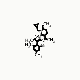 CCC1CCc2c(C)nc3c(-c4c(C)cc(C)cc4Br)c(C)nn3c2N1CC1CC1